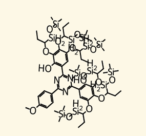 CCC(Oc1cc(-c2nc(-c3ccc(OC)cc3)nc(-c3cc(OC(CC)[SiH2]O[Si](C)(C)C)c(OC(CC)[SiH2]O[Si](C)(C)C)c(OC(CC)[SiH2]O[Si](C)(C)C)c3O)n2)c(O)c(OC(CC)[SiH2]O[Si](C)(C)C)c1OC(CC)[SiH2]O[Si](C)(C)C)[SiH2]O[Si](C)(C)C